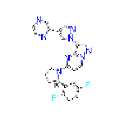 Fc1ccc(F)c([C@H]2CCCN2c2ccn3ncc(-n4cc(-c5cnccn5)cn4)c3n2)c1